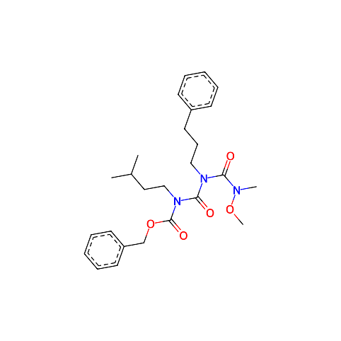 CON(C)C(=O)N(CCCc1ccccc1)C(=O)N(CCC(C)C)C(=O)OCc1ccccc1